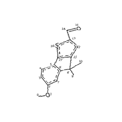 COc1ccc2c(c1)C(C)(C)c1cc(C=O)sc1-2